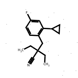 CCC(C#N)(CC)Cc1ccc(F)cc1C1CC1